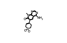 Cn1c(=O)c(C2=CCS(=O)(=O)CC2)cc2c(N)ncnc21